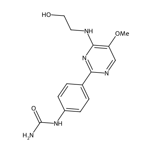 COc1cnc(-c2ccc(NC(N)=O)cc2)nc1NCCO